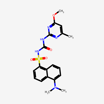 COc1cc(C)nc(NC(=O)NS(=O)(=O)c2cccc3c(N(C)C)cccc23)n1